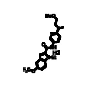 CCn1c(C(=O)Nc2ccc(N(C)CCOC)nc2)cc2cc(OC(F)(F)F)ccc21.Cl